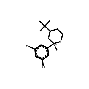 CC(C)(C)C1CCS[C@](C)(c2cc(Cl)cc(Cl)c2)S1